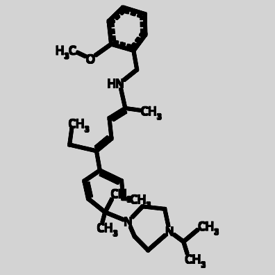 CC/C=C(\C=C/C(C)(C)N1CCN(C(C)C)CC1)C(=C/C=C(\C)NCc1ccccc1OC)/CC